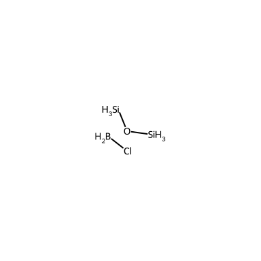 BCl.[SiH3]O[SiH3]